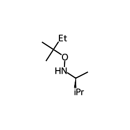 CCC(C)(C)ON[C@@H](C)C(C)C